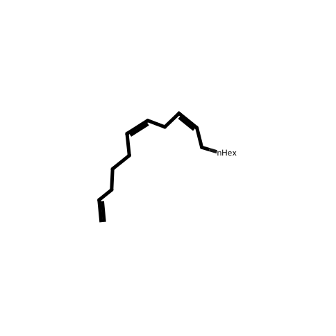 C=CCCC/C=C\C/C=C\CCCCCCC